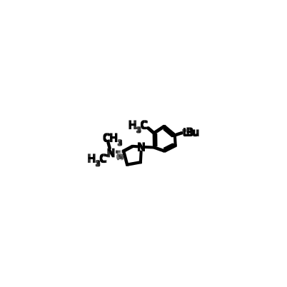 Cc1cc(C(C)(C)C)ccc1N1CC[C@H](N(C)C)C1